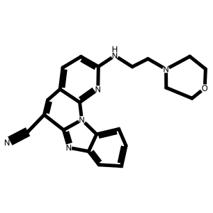 N#Cc1cc2ccc(NCCN3CCOCC3)nc2n2c1nc1ccccc12